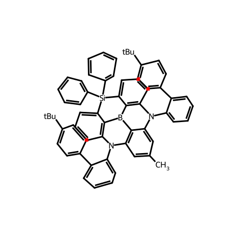 Cc1cc2c3c(c1)N(c1ccccc1-c1ccc(C(C)(C)C)cc1)c1cccc4c1B3c1c(cccc1[Si]4(c1ccccc1)c1ccccc1)N2c1ccccc1-c1ccc(C(C)(C)C)cc1